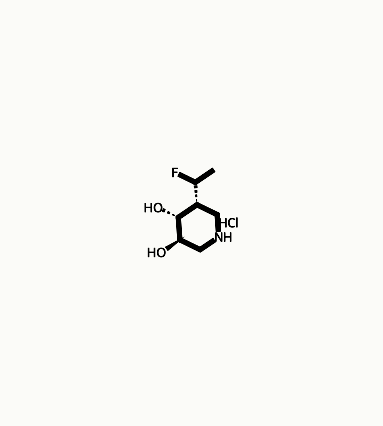 CC(F)[C@@H]1CNC[C@@H](O)[C@@H]1O.Cl